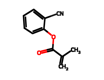 C=C(C)C(=O)Oc1ccccc1C#N